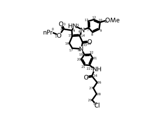 CCCOC(=O)C1NN(c2ccc(OC)cc2)C2=C1CCN(c1ccc(NC(=O)CCCCCl)cc1)C2=O